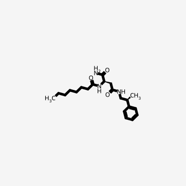 CCCCCCCC(=O)N[C@H](CC(=O)NC[C@@H](C)c1ccccc1)C(N)=O